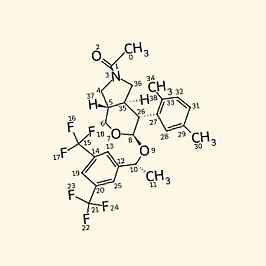 CC(=O)N1C[C@H]2CO[C@H](O[C@H](C)c3cc(C(F)(F)F)cc(C(F)(F)F)c3)[C@@H](c3cc(C)ccc3C)[C@@H]2C1